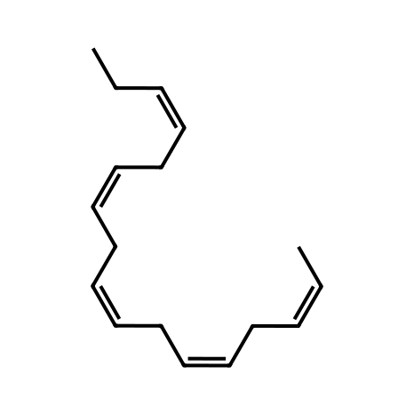 C/C=C\C/C=C\C/C=C\C/C=C\C/C=C\CC